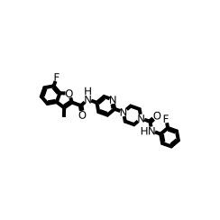 Cc1c(C(=O)Nc2ccc(N3CCN(C(=O)Nc4ccccc4F)CC3)nc2)oc2c(F)cccc12